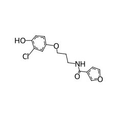 O=C(NCCCOc1ccc(O)c(Cl)c1)c1ccoc1